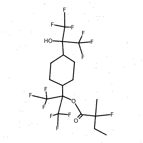 CCC(C)(F)C(=O)OC(C1CCC(C(O)(C(F)(F)F)C(F)(F)F)CC1)(C(F)(F)F)C(F)(F)F